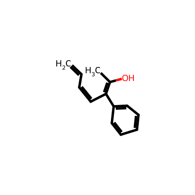 C=C/C=C\C(=C(/C)O)c1ccccc1